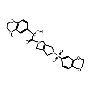 CN1CCOc2ccc([C@@H](O)C(=O)N3CC4=C(C3)CN(S(=O)(=O)c3ccc5c(c3)OCCO5)C4)cc21